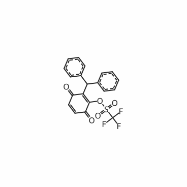 O=C1C=CC(=O)C(C(c2ccccc2)c2ccccc2)=C1OS(=O)(=O)C(F)(F)F